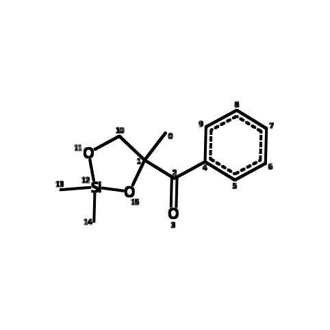 CC1(C(=O)c2ccccc2)CO[Si](C)(C)O1